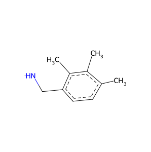 Cc1ccc(C[NH])c(C)c1C